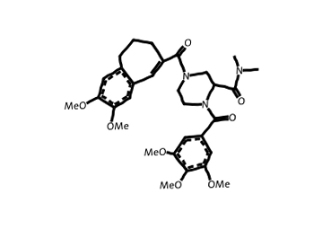 COc1cc2c(cc1OC)CCCC(C(=O)N1CCN(C(=O)c3cc(OC)c(OC)c(OC)c3)C(C(=O)N(C)C)C1)=C2